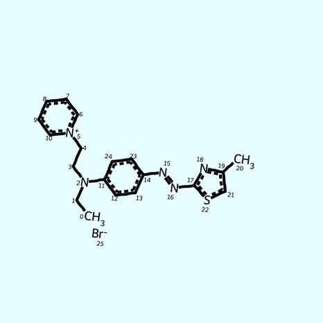 CCN(CC[n+]1ccccc1)c1ccc(N=Nc2nc(C)cs2)cc1.[Br-]